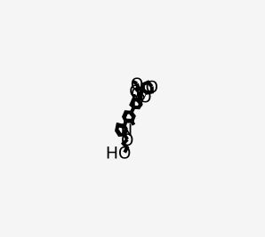 COC(=O)C1(S(=O)(=O)N2CCC(c3ccc(-c4cccc(OCCO)n4)c(C)c3)CC2)CCOCC1